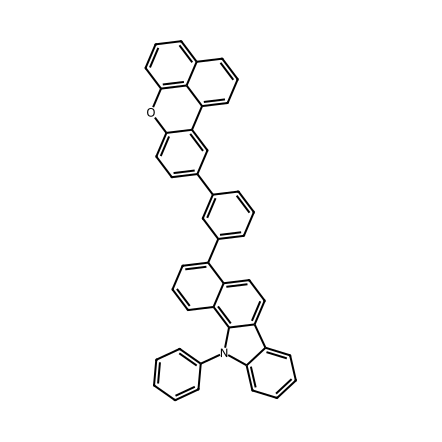 c1ccc(-n2c3ccccc3c3ccc4c(-c5cccc(-c6ccc7c(c6)-c6cccc8cccc(c68)O7)c5)cccc4c32)cc1